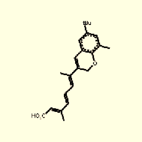 CC(C=CC=C(C)C1=Cc2cc(C(C)(C)C)cc(C)c2OC1)=CC(=O)O